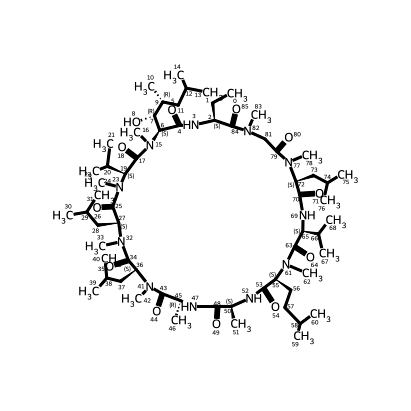 CC[C@@H]1NC(=O)[C@H]([C@H](O)[C@H](C)CC(C)C)N(C)C(=O)[C@H](C(C)C)N(C)C(=O)[C@H](CC(C)C)N(C)C(=O)[C@H](CC(C)C)N(C)C(=O)[C@@H](C)NC(=O)[C@H](C)NC(=O)[C@H](CCC(C)C)N(C)C(=O)[C@H](C(C)C)NC(=O)[C@H](CC(C)C)N(C)C(=O)CN(C)C1=O